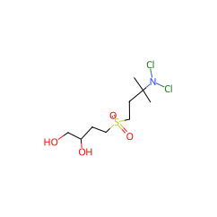 CC(C)(CCS(=O)(=O)CCC(O)CO)N(Cl)Cl